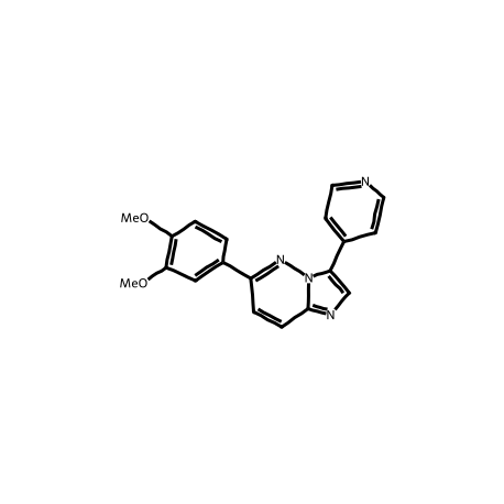 COc1ccc(-c2ccc3ncc(-c4ccncc4)n3n2)cc1OC